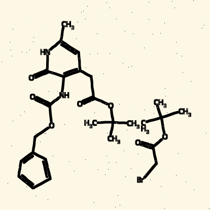 CC(C)(C)OC(=O)CBr.Cc1cc(CC(=O)OC(C)(C)C)c(NC(=O)OCc2ccccc2)c(=O)[nH]1